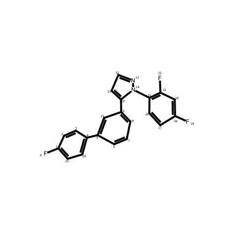 Fc1ccc(-c2cccc(-c3ccnn3-c3ccc(F)cc3F)c2)cc1